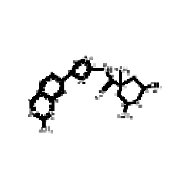 Cc1ncc2ccc(-c3cnc(NC(=O)C4(C)CC(C)OC(C)C4)s3)cc2n1